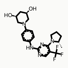 C[C@H]1CCCN1c1nc(Nc2ccc(N3C[C@H](O)C[C@H](O)C3)cc2)ncc1C(F)(F)F